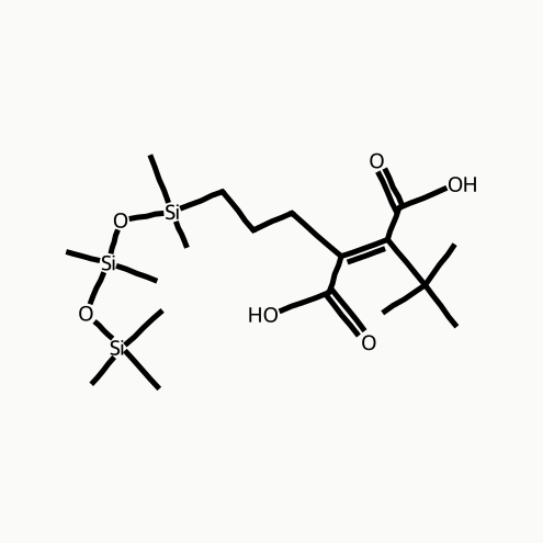 CC(C)(C)/C(C(=O)O)=C(/CCC[Si](C)(C)O[Si](C)(C)O[Si](C)(C)C)C(=O)O